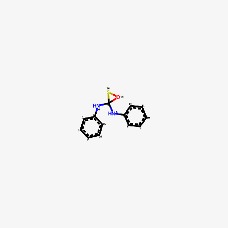 c1ccc(NC2(Nc3ccccc3)OS2)cc1